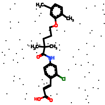 Cc1ccc(C)c(OCCCC(C)(C)C(=O)Nc2ccc(C=CC(=O)O)c(Cl)c2)c1